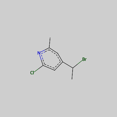 Cc1cc(C(C)Br)cc(Cl)n1